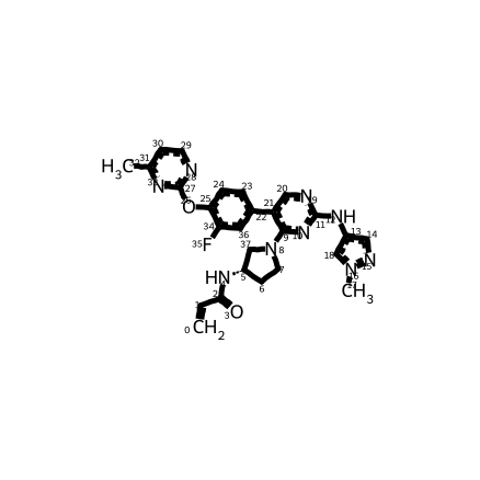 C=CC(=O)N[C@H]1CCN(c2nc(Nc3cnn(C)c3)ncc2-c2ccc(Oc3nccc(C)n3)c(F)c2)C1